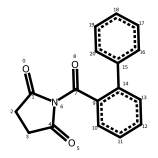 O=C1CCC(=O)N1C(=O)c1ccccc1-c1ccccc1